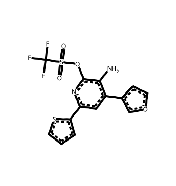 Nc1c(-c2ccoc2)cc(-c2cccs2)nc1OS(=O)(=O)C(F)(F)F